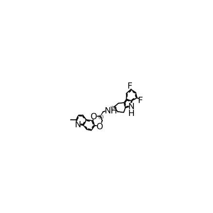 Cc1ccc2c3c(ccc2n1)OC[C@H](CNC[C@H]1CCc2[nH]c4c(F)cc(F)cc4c2C1)O3